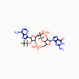 CC(C)(C)[Si](C)(C)OC1C2COP(=O)(O)OC3C(COP(=O)(O)OC1C(n1cnc4c(=O)[nH]c(N)nc41)O2)OC(c1cnc2c(N)ncnn12)C3O[Si](C)(C)C(C)(C)C